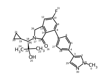 Cn1cc(-c2ccc(-c3cc(F)cc4c3C(=O)N([C@H](C3CC3)C(C)(C)O)C4)cc2)cn1